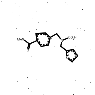 CNC(=O)c1ccc(CN(Cc2cccs2)C(=O)O)cc1